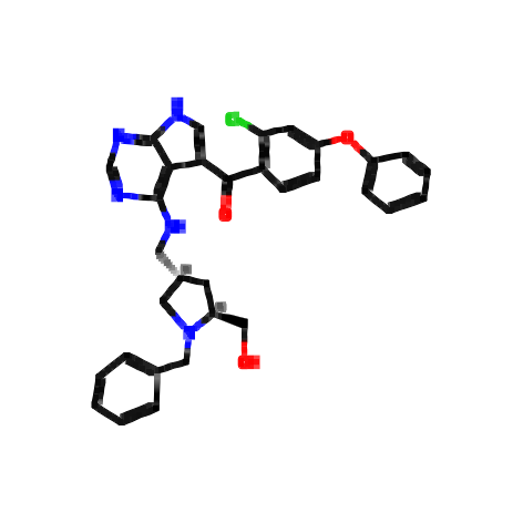 O=C(c1ccc(Oc2ccccc2)cc1Cl)c1c[nH]c2ncnc(NC[C@@H]3C[C@@H](CO)N(Cc4ccccc4)C3)c12